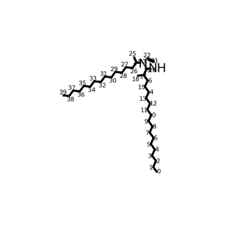 CCCCCCCCCCCCCCCCCC(C)c1[nH]cc[n+]1C(C)CCCCCCCCCCCCCC